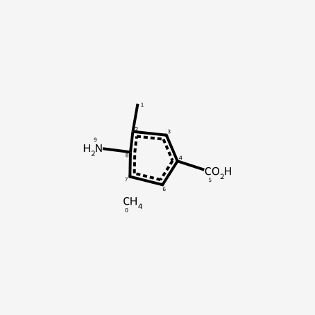 C.Cc1cc(C(=O)O)ccc1N